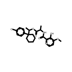 COc1ccnc(C(=O)NC(C)C(=O)OC(C)C2(c3ccc(Cl)cc3)CCCCC2)c1O